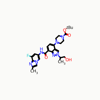 Cc1cn2cc(NC(=O)c3ccc(N4CCN(C(=O)OC(C)(C)C)CC4)c4cn(C(C)CO)nc34)cc(F)c2n1